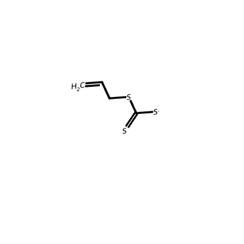 C=CCSC([S])=S